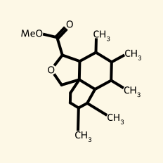 COC(=O)C1OCC23CCC(C)C(C)C2C(C)C(C)C(C)C13